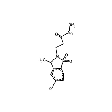 CC1c2cc(Br)ccc2S(=O)(=O)N1CCC(=O)NN